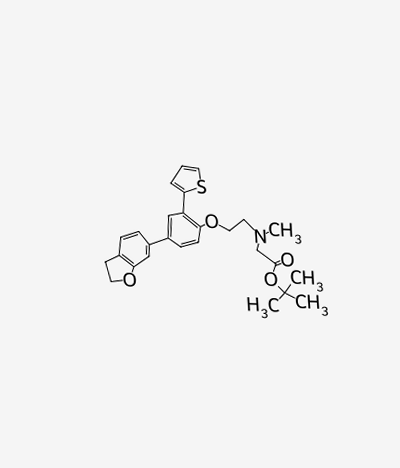 CN(CCOc1ccc(-c2ccc3c(c2)OCC3)cc1-c1cccs1)CC(=O)OC(C)(C)C